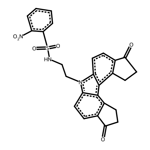 O=C1CCc2c1ccc1c2c2c3c(ccc2n1CCNS(=O)(=O)c1ccccc1[N+](=O)[O-])C(=O)CC3